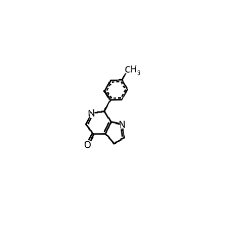 Cc1ccc(C2N=CC(=O)C3=C2N=CC3)cc1